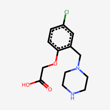 O=C(O)COc1ccc(Cl)cc1CN1CCNCC1